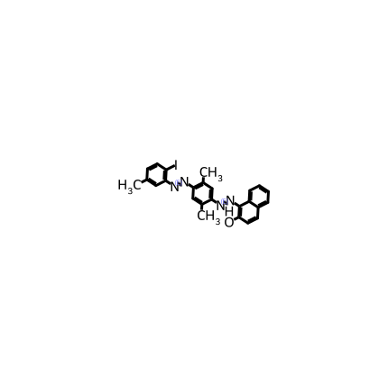 Cc1ccc(I)c(/N=N/c2cc(C)c(/N=N/c3c(O)ccc4ccccc34)cc2C)c1